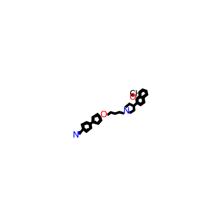 COc1c(C2CCN(CCCCCOc3ccc(-c4ccc(C#N)cc4)cc3)CC2)ccc2ccccc12